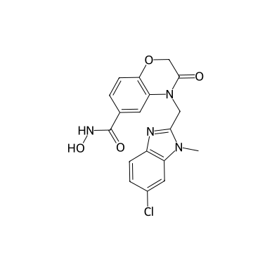 Cn1c(CN2C(=O)COc3ccc(C(=O)NO)cc32)nc2ccc(Cl)cc21